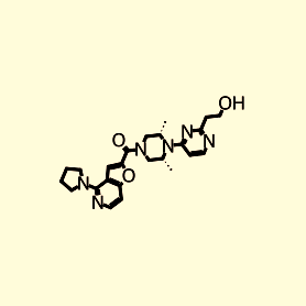 C[C@@H]1CN(C(=O)c2cc3c(N4CCCC4)nccc3o2)C[C@H](C)N1c1ccnc(CCO)n1